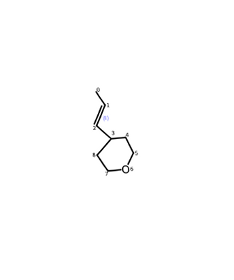 C/C=C/C1CCOCC1